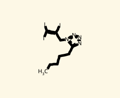 CCCCCc1nnnn1CC(I)=C(I)I